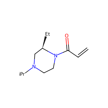 C=CC(=O)N1CCN(C(C)C)C[C@H]1CC